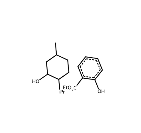 CC1CCC(C(C)C)C(O)C1.CCOC(=O)c1ccccc1O